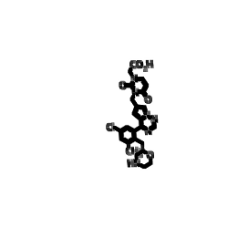 Cc1cc(Cl)cc(-c2ncnn3cc(Cn4c(=O)ccn(CC(=O)O)c4=O)cc23)c1C[C@@H]1CNCCO1